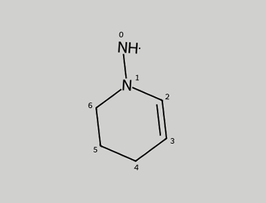 [NH]N1C=CCCC1